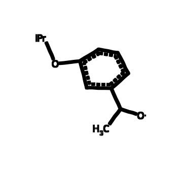 CC(C)Oc1cccc(C(C)[O])c1